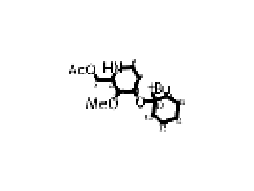 COC1C(COC(C)=O)NCCC1OC1(C(C)(C)C)CCCCC1